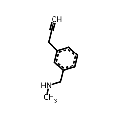 C#CCc1cccc(CNC)c1